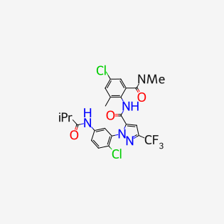 CNC(=O)c1cc(Cl)cc(C)c1NC(=O)c1cc(C(F)(F)F)nn1-c1cc(NC(=O)C(C)C)ccc1Cl